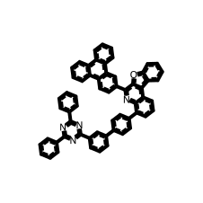 c1ccc(-c2nc(-c3ccccc3)nc(-c3cccc(-c4ccc(-c5cccc6c5nc(-c5ccc7c8ccccc8c8ccccc8c7c5)c5oc7ccccc7c56)cc4)c3)n2)cc1